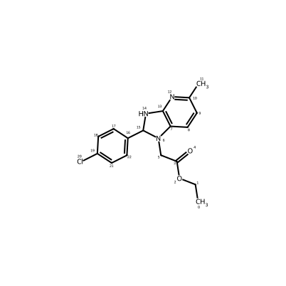 CCOC(=O)CN1c2ccc(C)nc2NC1c1ccc(Cl)cc1